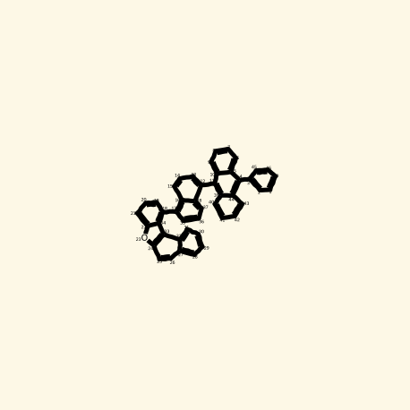 c1ccc(-c2c3ccccc3c(-c3cccc4c(-c5cccc6oc7ccc8ccccc8c7c56)cccc34)c3ccccc23)cc1